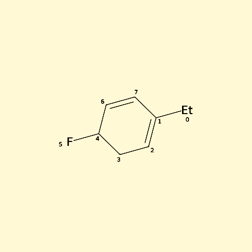 CCC1=CCC(F)C=C1